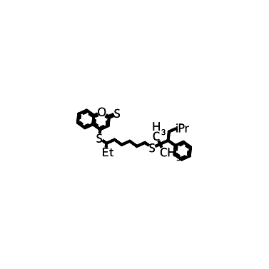 CCC(CCCCCSC(C)(C)C(CC(C)C)c1ccccc1)Sc1cc(=S)oc2ccccc12